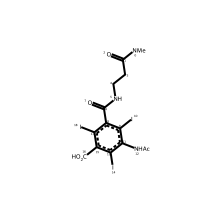 CNC(=O)CCNC(=O)c1c(I)c(NC(C)=O)c(I)c(C(=O)O)c1I